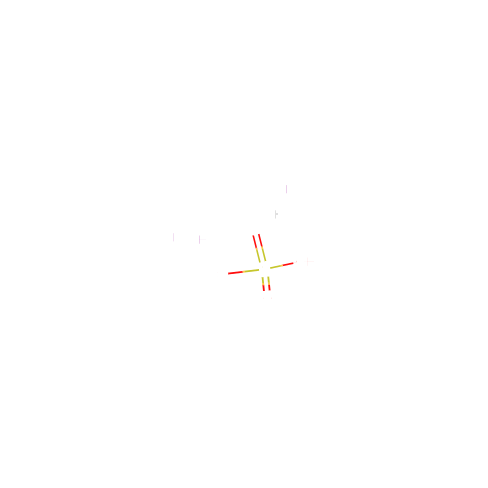 I.I.I.O=S(=O)(O)O.[KH]